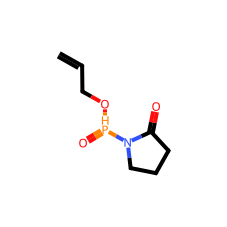 C=CCO[PH](=O)N1CCCC1=O